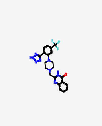 O=c1[nH]c(CN2CCN(c3cc(C(F)(F)F)ccc3-c3nn[nH]n3)CC2)nc2ccccc12